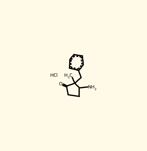 CC1(Cc2ccccc2)C(=O)CCC1N.Cl